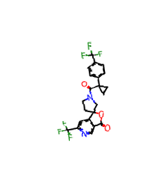 O=C1OC2(CCN(C(=O)C3(c4ccc(C(F)(F)F)cc4)CC3)C2)c2cc(C(F)(F)F)ncc21